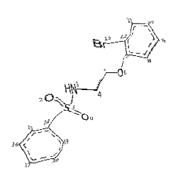 O=S(=O)(NCCOc1ccccc1Br)c1ccccc1